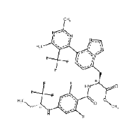 CC[C@@H](Nc1cc(F)c(C(=O)N[C@@H](Cc2ccc(-c3nc(C)nc(C)c3C(F)(F)F)c3nccn23)C(=O)OC)c(F)c1)C(F)(F)F